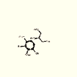 CC(=O)OCC(COC(C)=O)OC(C)=O.CCc1c(C=O)ccc(O)c1OC